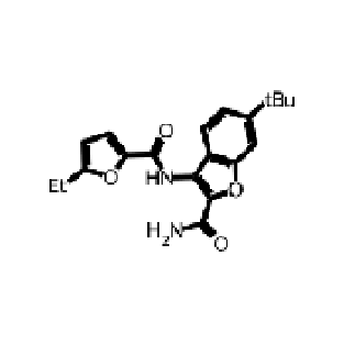 CCc1ccc(C(=O)Nc2c(C(N)=O)oc3cc(C(C)(C)C)ccc23)o1